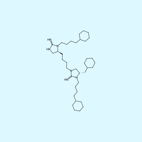 N=C1NC[C@H](CCCCN2C[C@H](CC3CCCCC3)N(CCCCC3CCCCC3)C2=N)N1CCCCC1CCCCC1